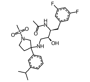 CC(=O)N[C@@H](Cc1cc(F)cc(F)c1)[C@@H](O)CNC1(c2cccc(C(C)C)c2)CCN(S(C)(=O)=O)C1